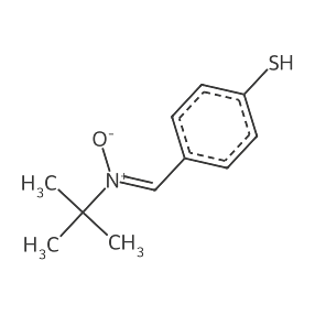 CC(C)(C)[N+]([O-])=Cc1ccc(S)cc1